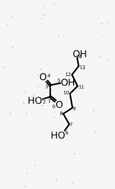 O=C(O)C(=O)O.OCCCCCCCO